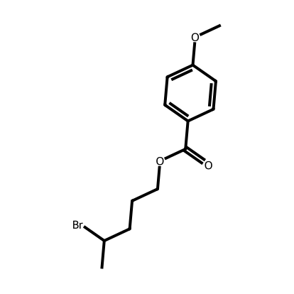 COc1ccc(C(=O)OCCCC(C)Br)cc1